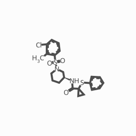 Cc1c(Cl)cccc1S(=O)(=O)N1CCC[C@H](NC(=O)C2(Sc3ccccc3)CC2)C1